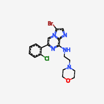 Clc1ccccc1-c1cn2c(Br)cnc2c(NCCN2CCOCC2)n1